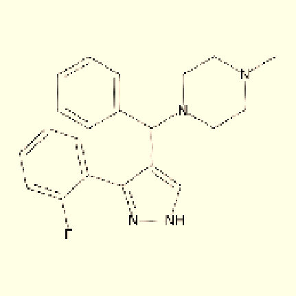 CN1CCN(C(c2ccccc2)c2c[nH]nc2-c2ccccc2F)CC1